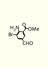 COC(=O)c1cc(C=O)cc(Br)c1N